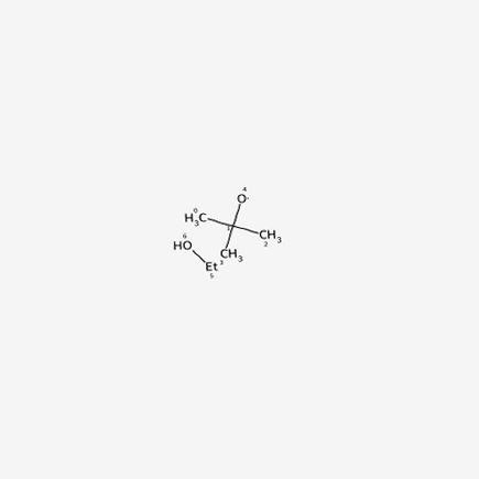 CC(C)(C)[O].CCO